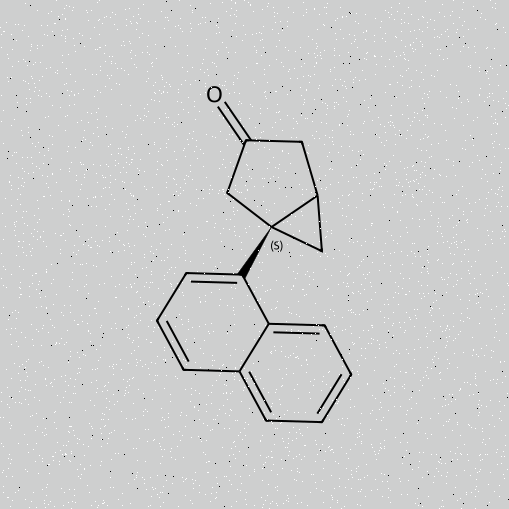 O=C1CC2C[C@]2(c2cccc3ccccc23)C1